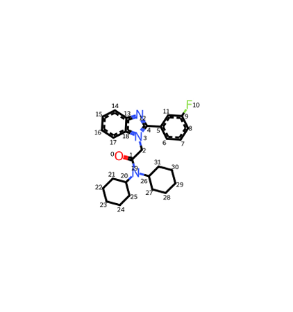 O=C(Cn1c(-c2cccc(F)c2)nc2ccccc21)N(C1CCCCC1)C1CCCCC1